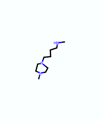 CNCCCCN1CCN(C)CC1